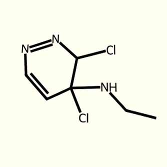 CCNC1(Cl)C=CN=NC1Cl